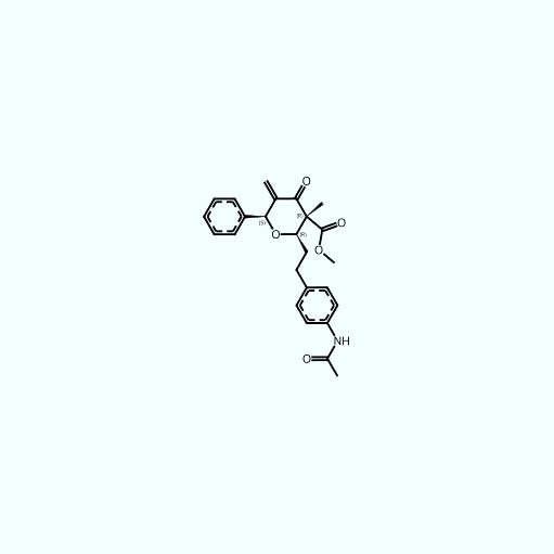 C=C1C(=O)[C@](C)(C(=O)OC)[C@@H](CCc2ccc(NC(C)=O)cc2)O[C@H]1c1ccccc1